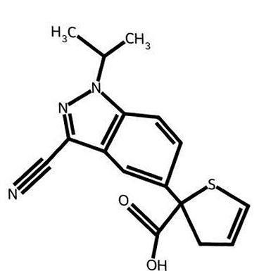 CC(C)n1nc(C#N)c2cc(C3(C(=O)O)CC=CS3)ccc21